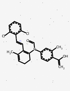 C=C(O)c1ccc(N(C=O)C2=C(/C=C/c3c(Cl)cccc3Cl)C(C)=CCC2)cc1C